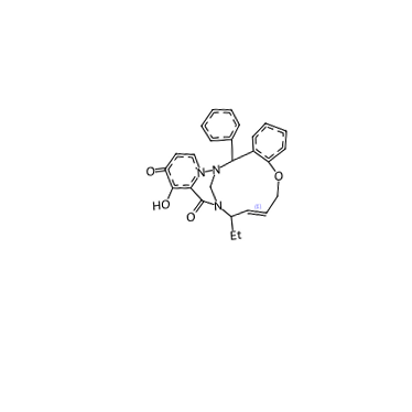 CCC1/C=C/COc2ccccc2C(c2ccccc2)N2CN1C(=O)c1c(O)c(=O)ccn12